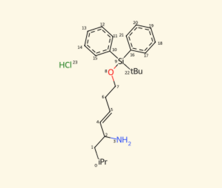 CC(C)CC(N)C=CCCO[Si](c1ccccc1)(c1ccccc1)C(C)(C)C.Cl